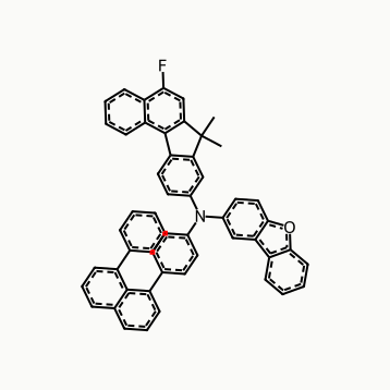 CC1(C)c2cc(N(c3ccc(-c4cccc5cccc(-c6ccccc6)c45)cc3)c3ccc4oc5ccccc5c4c3)ccc2-c2c1cc(F)c1ccccc21